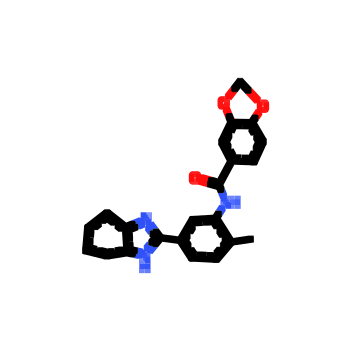 Cc1ccc(-c2nc3ccccc3[nH]2)cc1NC(=O)c1ccc2c(c1)OCO2